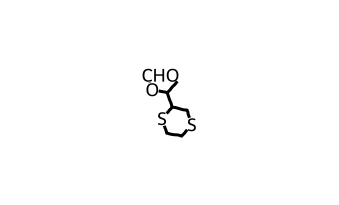 CC(OC=O)C1CSCCS1